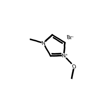 CO[n+]1ccn(C)c1.[Br-]